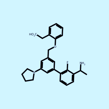 CC(N)c1cccc(-c2cc(COc3ccccc3CC(=O)O)cc(N3CCCC3)c2)c1F